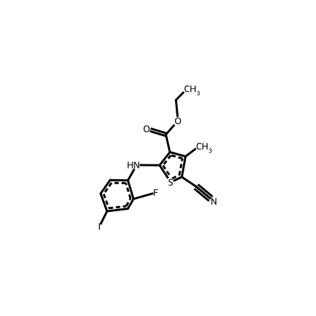 CCOC(=O)c1c(Nc2ccc(I)cc2F)sc(C#N)c1C